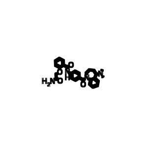 CN(C)C1CCCN(C(=O)c2ccc(NC(=O)c3ccccc3OCC(N)=O)cc2)c2ccccc21